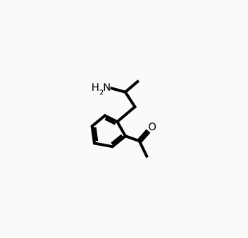 CC(=O)c1ccccc1CC(C)N